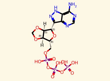 Nc1ncnc2c([C@@H]3O[C@H](COP(=O)(O)OP(=O)(O)OP(=O)(O)O)[C@H]4OCO[C@H]43)n[nH]c12